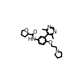 Cc1ncnc(C)c1-c1cc(NC(=O)C2CCCO2)ccc1OCCN1CCCC1